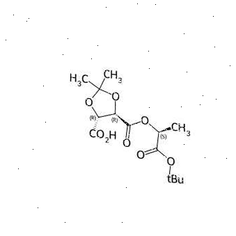 C[C@H](OC(=O)[C@@H]1OC(C)(C)O[C@H]1C(=O)O)C(=O)OC(C)(C)C